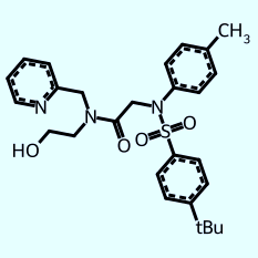 Cc1ccc(N(CC(=O)N(CCO)Cc2ccccn2)S(=O)(=O)c2ccc(C(C)(C)C)cc2)cc1